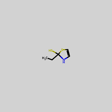 CCC1(S)NC=CS1